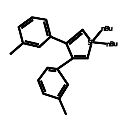 CCCC[Si]1(CCCC)C=C(c2cccc(C)c2)C(c2cccc(C)c2)=C1